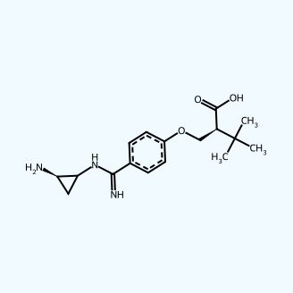 CC(C)(C)[C@@H](COc1ccc(C(=N)NC2C[C@H]2N)cc1)C(=O)O